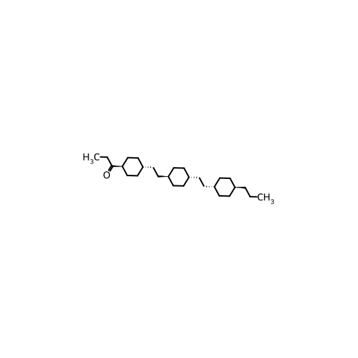 CCC[C@H]1CC[C@H](CC[C@H]2CC[C@H](CC[C@H]3CC[C@H](C(=O)CC)CC3)CC2)CC1